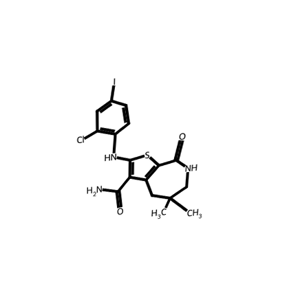 CC1(C)CNC(=O)c2sc(Nc3ccc(I)cc3Cl)c(C(N)=O)c2C1